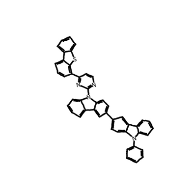 c1ccc(-n2c3ccccc3c3cc(-c4ccc5c(c4)c4ccccc4n5-c4nccc(-c5cccc6c5sc5ccccc56)n4)ccc32)cc1